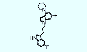 Fc1ccc2[nH]cc(CCCn3ccc4c(N5CCCCC5)cc(F)cc43)c2c1